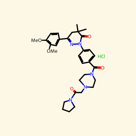 COc1ccc(C2=NN(c3ccc(C(=O)N4CCN(CC(=O)N5CCCC5)CC4)cc3)C(=O)C(C)(C)C2)cc1OC.Cl